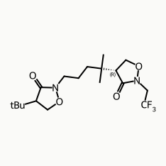 CC(C)(C)C1CON(CCCC(C)(C)[C@@H]2CON(CC(F)(F)F)C2=O)C1=O